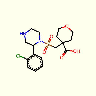 O=C(O)C1(CS(=O)(=O)N2CCNCC2c2ccccc2Cl)CCOCC1